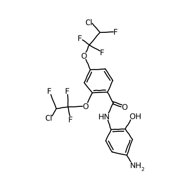 Nc1ccc(NC(=O)c2ccc(OC(F)(F)C(F)Cl)cc2OC(F)(F)C(F)Cl)c(O)c1